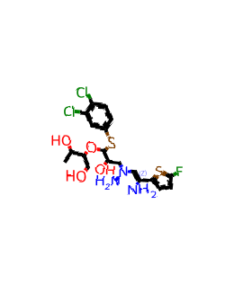 CC(O)C(CO)OC(Sc1ccc(Cl)c(Cl)c1)C(O)CN(N)/C=C(\N)c1ccc(F)s1